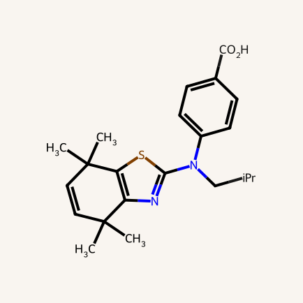 CC(C)CN(c1ccc(C(=O)O)cc1)c1nc2c(s1)C(C)(C)C=CC2(C)C